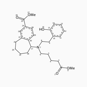 COC(=O)CCCCN(CCc1ccccc1O)C1CCCCc2cc(C(=O)OC)ccc21